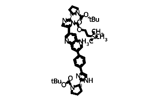 CC(C)(C)OC(=O)N1CCC[C@H]1c1nc(-c2ccc(-c3cnc4cc(-c5cnc([C@@H]6CCCN6C(=O)OC(C)(C)C)n5COCC[Si](C)(C)C)cnc4c3)cc2)c[nH]1